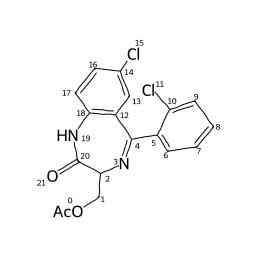 CC(=O)OCC1N=C(c2ccccc2Cl)c2cc(Cl)ccc2NC1=O